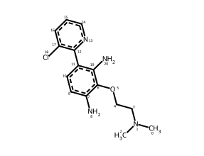 CN(C)CCOc1c(N)ccc(-c2ncccc2Cl)c1N